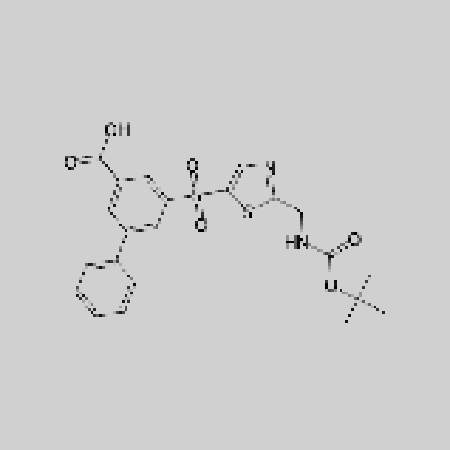 CC(C)(C)OC(=O)NCc1ncc(S(=O)(=O)c2cc(C(=O)O)cc(-c3ccccc3)c2)s1